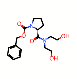 O=C([C@@H]1CCCN1C(=O)OCc1ccccc1)N(CCO)CCO